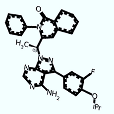 CC(C)Oc1ccc(-c2nn([C@@H](C)c3cc4ccccc4c(=O)n3-c3ccccc3)c3ncnc(N)c23)cc1F